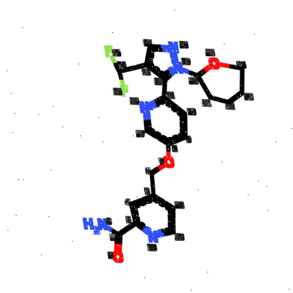 NC(=O)c1cc(COc2ccc(-c3c(C(F)F)cnn3C3CCCCO3)nc2)ccn1